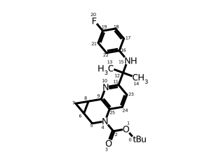 CC(C)(C)OC(=O)N1CC2CC2c2nc(C(C)(C)Nc3ccc(F)cc3)ccc21